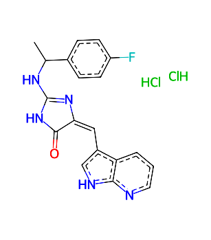 CC(NC1=NC(=Cc2c[nH]c3ncccc23)C(=O)N1)c1ccc(F)cc1.Cl.Cl